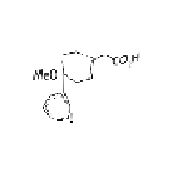 COC1(c2ccccc2)CC=C(CC(=O)O)CC1